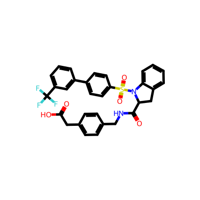 O=C(O)Cc1ccc(CNC(=O)C2Cc3ccccc3N2S(=O)(=O)c2ccc(-c3cccc(C(F)(F)F)c3)cc2)cc1